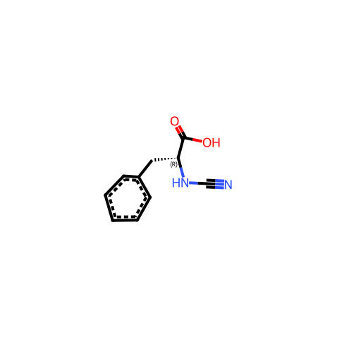 N#CN[C@H](Cc1ccccc1)C(=O)O